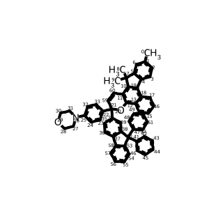 Cc1ccc2c(c1)C(C)(C)c1c3c(c4ccccc4c1-2)OC(c1ccc(N2CCOCC2)cc1)(c1ccc2c(c1)C(c1ccccc1)(c1ccccc1)c1ccccc1-2)C=C3